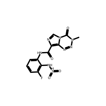 Cn1nnc2c(C(=O)Nc3cccc(F)c3N[SH](=O)=O)ncn2c1=O